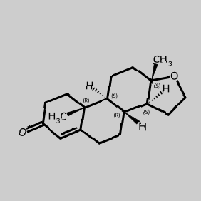 C[C@]12CCC(=O)C=C1CC[C@@H]1[C@@H]2CC[C@]2(C)OCC[C@@H]12